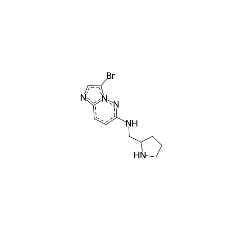 Brc1cnc2ccc(NCC3CCCN3)nn12